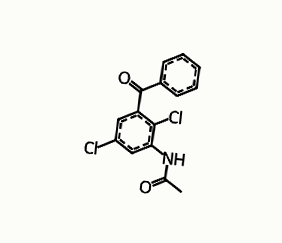 CC(=O)Nc1cc(Cl)cc(C(=O)c2ccccc2)c1Cl